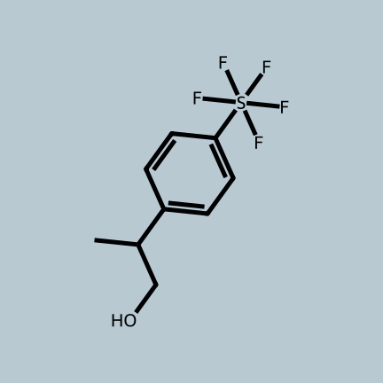 CC(CO)c1ccc(S(F)(F)(F)(F)F)cc1